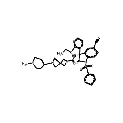 CCOc1ncccc1[C@]1(NC(=O)N2CC3(C2)CN(C2CCN(C)CC2)C3)C(=O)N(S(=O)(=O)c2ccccc2)c2ccc(C#N)cc21